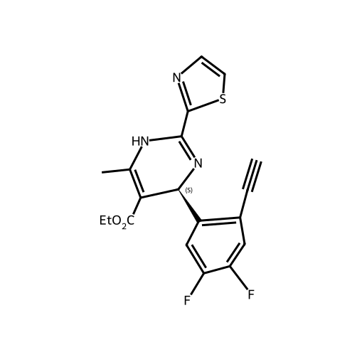 C#Cc1cc(F)c(F)cc1[C@@H]1N=C(c2nccs2)NC(C)=C1C(=O)OCC